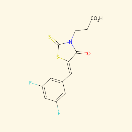 O=C(O)CCN1C(=O)/C(=C/c2cc(F)cc(F)c2)SC1=S